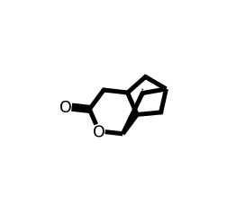 O=C1CC2CC3[CH]C(O1)C2C3